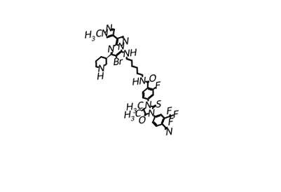 Cn1cc(-c2cnn3c(NCCCCCCNC(=O)c4ccc(N5C(=S)N(c6ccc(C#N)c(C(F)(F)F)c6)C(=O)C5(C)C)cc4F)c(Br)c([C@@H]4CCCNC4)nc23)cn1